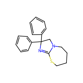 c1ccc(C2(c3ccccc3)CN3CCCCSC3=N2)cc1